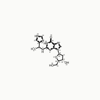 CC(Nc1nc2c(ncn2[C@H]2C[C@H](O)[C@@H](CO)O2)c(=O)[nH]1)c1c[nH]cn1